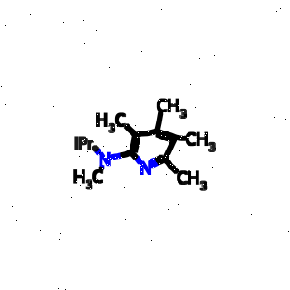 Cc1nc(N(C)C(C)C)c(C)c(C)c1C